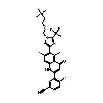 C[Si](C)(C)CCOCn1cc(-c2c(F)cc3[nH]c(-c4cc(C#N)ccc4Cl)cc(=O)c3c2F)nc1C(F)(F)F